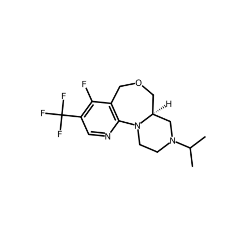 CC(C)N1CCN2c3ncc(C(F)(F)F)c(F)c3COC[C@H]2C1